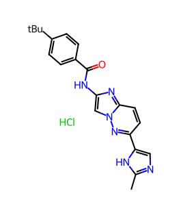 Cc1ncc(-c2ccc3nc(NC(=O)c4ccc(C(C)(C)C)cc4)cn3n2)[nH]1.Cl